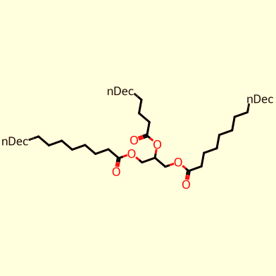 CCCCCCCCCCCCCCCCCC(=O)OCC(COC(=O)CCCCCCCCCCCCCCCCC)OC(=O)CCCCCCCCCCCCC